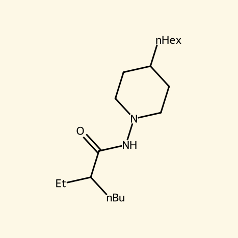 CCCCCCC1CCN(NC(=O)C(CC)CCCC)CC1